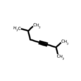 CC(C)C#CCC(C)C